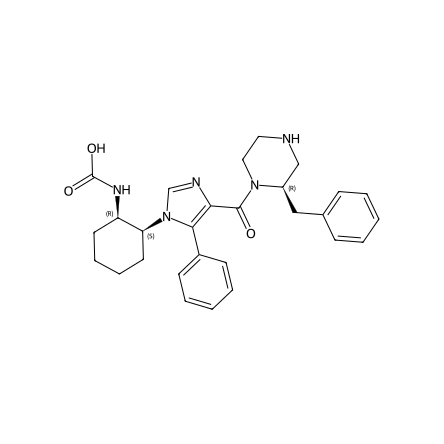 O=C(O)N[C@@H]1CCCC[C@@H]1n1cnc(C(=O)N2CCNC[C@H]2Cc2ccccc2)c1-c1ccccc1